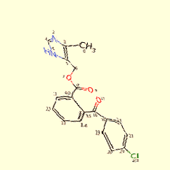 Cc1nc[nH]c1COC(=O)c1ccccc1C(=O)c1ccc(Cl)cc1